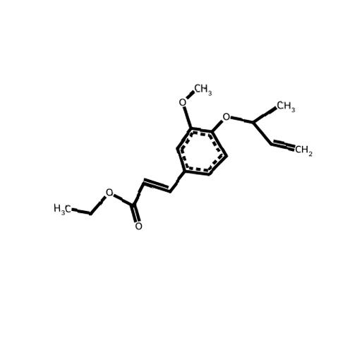 C=CC(C)Oc1ccc(C=CC(=O)OCC)cc1OC